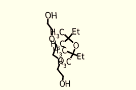 CCC(C)(C)OC(C)(C)CC.OCCOCCOCCO